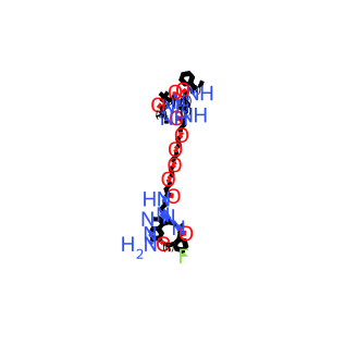 CC[C@@H](NC(=O)[C@@H]1C[C@H](NC(=O)CCOCCOCCOCCOCCC(=O)NCCn2nc3c(c2C#N)-c2cnc(N)c(c2)O[C@H](C)c2cc(F)ccc2C(=O)N(C)C3)CN1C(=O)[C@@H](NC(=O)[C@H](C)NC)C(C)(C)C)c1ccccc1